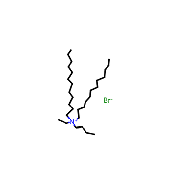 CCC=C[N+](CC)(CCCCCCCCCCCC)CCCCCCCCCCCC.[Br-]